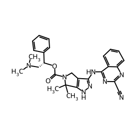 CN(C)C[C@@H](OC(=O)N1Cc2c(Nc3nc(C#N)nc4ccccc34)n[nH]c2C1(C)C)c1ccccc1